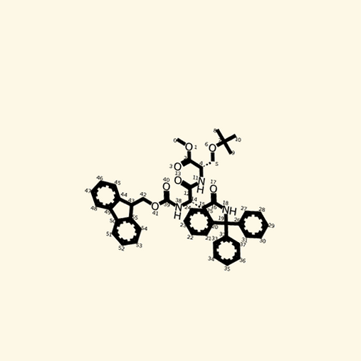 COC(=O)[C@H](COC(C)(C)C)NC(=O)[C@H](CC(=O)NC(c1ccccc1)(c1ccccc1)c1ccccc1)NC(=O)OCC1c2ccccc2-c2ccccc21